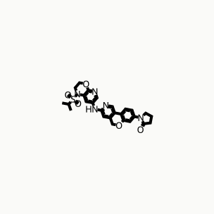 CC(C)S(=O)(=O)N1CCOc2ncc(Nc3cc4c(cn3)-c3ccc(N5CCCC5=O)cc3OC4)cc21